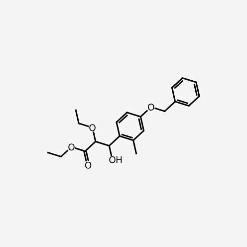 CCOC(=O)C(OCC)C(O)c1ccc(OCc2ccccc2)cc1C